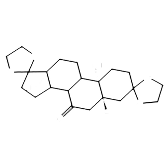 C=C1C[C@H]2CC3(CC[C@]2(C)C2CC[C@@]4(C)C(CCC45OCCO5)C12)OCCO3